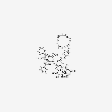 CC1OC(OC2C(NC(=O)c3cc(O)nc(O)n3)CC(CCc3ccc(CN4CCCNCCNCCCNCC4)cc3)CC2OC2OC(CO)C(O)C(O[C@@H](CC3CCCCC3)C(=O)O)C2NC(=O)c2ccccc2)C(O)C(O)C1O